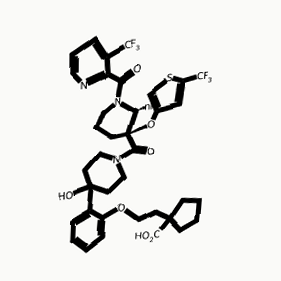 CCC[C@H]1N(C(=O)c2ncccc2C(F)(F)F)CCC[C@@]1(Oc1csc(C(F)(F)F)c1)C(=O)N1CCC(O)(c2ccccc2OCCC2(C(=O)O)CCCC2)CC1